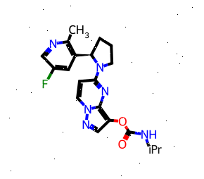 Cc1ncc(F)cc1[C@H]1CCCN1c1ccn2ncc(OC(=O)NC(C)C)c2n1